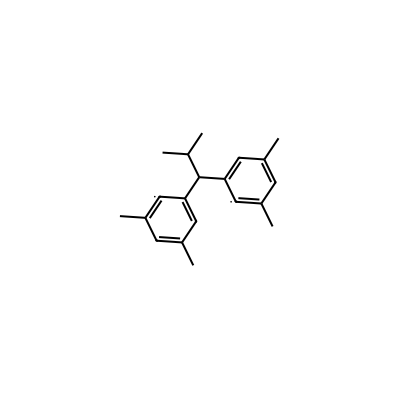 Cc1[c]c(C(c2[c]c(C)cc(C)c2)C(C)C)cc(C)c1